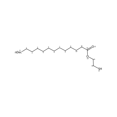 CCCCCCCCCCCCCCCCCCCCCC(=O)OCCS